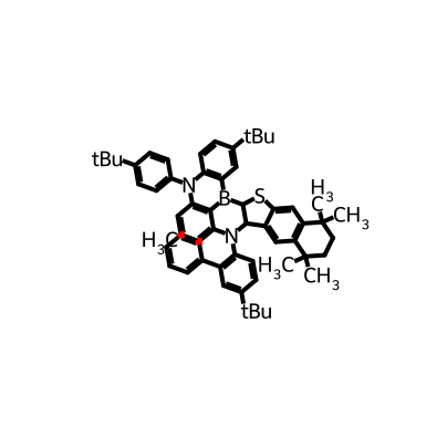 Cc1cc2c3c(c1)N(c1ccc(C(C)(C)C)cc1-c1ccccc1)C1c4cc5c(cc4SC1B3c1cc(C(C)(C)C)ccc1N2c1ccc(C(C)(C)C)cc1)C(C)(C)CCC5(C)C